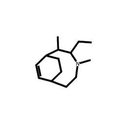 CCC1C(C)C2C=CC(CC2)CCN1C